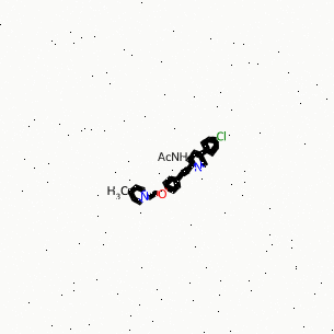 CC(=O)Nc1cc(-c2ccc(Cl)cc2)cnc1C#Cc1ccc(OCCN2CCC(C)CC2)cc1